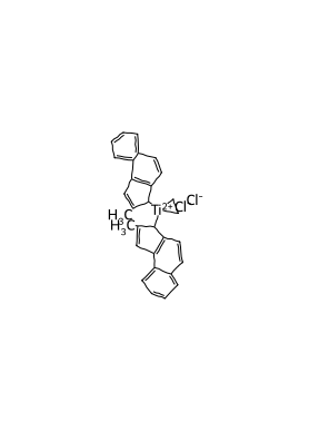 CC1=Cc2c(ccc3ccccc23)[CH]1[Ti+2]1([CH]2C(C)=Cc3c2ccc2ccccc32)[CH2][CH2]1.[Cl-].[Cl-]